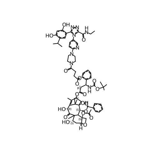 CCNC(=O)c1nnc(-c2cc(C(C)C)c(O)cc2O)n1-c1ccc(N2CCN(C(=O)CCC(=O)O[C@@H](C(=O)O[C@H]3CC4(O)[C@@H](OC(=O)c5ccccc5)C5C(C)(C(=O)[C@H](O)C(=C3C)C4(C)C)[C@@H](O)C[C@H]3OC[C@@]53OC(C)=O)C(NC(=O)OC(C)(C)C)c3ccccc3)CC2)nc1